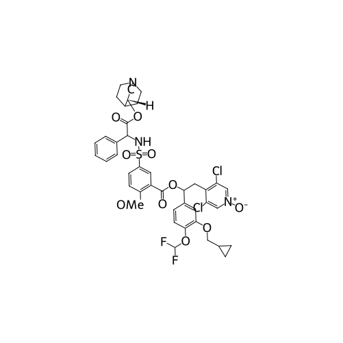 COc1ccc(S(=O)(=O)NC(C(=O)O[C@H]2CN3CCC2CC3)c2ccccc2)cc1C(=O)OC(Cc1c(Cl)c[n+]([O-])cc1Cl)c1ccc(OC(F)F)c(OCC2CC2)c1